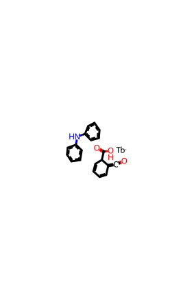 O=C=C1C=CC=CC1C(=O)O.[Tb].c1ccc(Nc2ccccc2)cc1